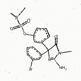 CN1C(=O)C(c2cccc(Br)c2)(c2cccc(OS(=O)(=O)N(C)C)c2)N=C1N